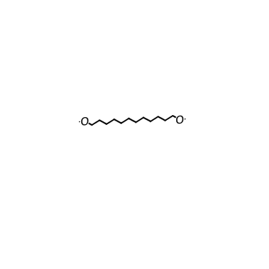 [O]CCCCCCCCCCCC[O]